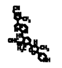 Cc1cc(Nc2nccn3c(-c4cn(CC#N)nc4C(F)(F)F)cnc23)ccc1C(=O)N[C@H](C)C(=O)N1CCNCC1.O=CO